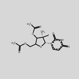 CC(=O)OCC1O[C@@H](n2ccc(=O)[nH]c2=O)[C@](C)(F)C1OC(C)=O